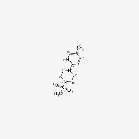 CS(=O)(=O)N1CCN(c2ccc(C(F)(F)F)cn2)CC1